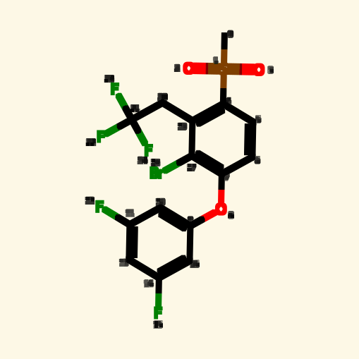 CS(=O)(=O)c1ccc(Oc2cc(F)cc(F)c2)c(Br)c1CC(F)(F)F